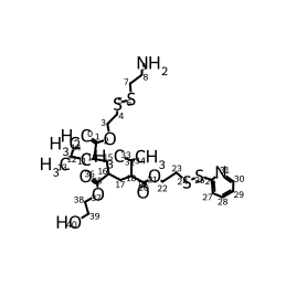 C=C(OCCSSCCN)C(CC(C)C)CC(CC(C(=O)OCCSSc1ccccn1)C(C)C)C(=O)OCCO